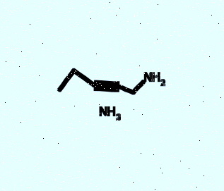 CCC#CCN.N